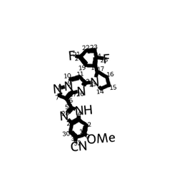 COc1cc2[nH]c(-c3cnn4ccc(N5CCCC5c5cc(F)ccc5F)nc34)nc2cc1C#N